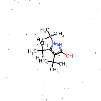 CC(C)(C)c1c(O)nn(C(C)(C)C)c1C(C)(C)C